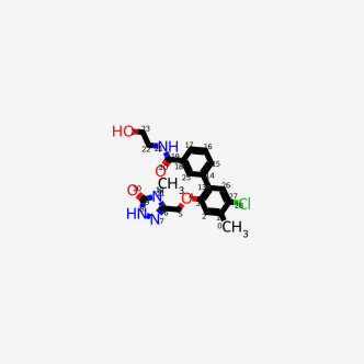 Cc1cc(OCc2n[nH]c(=O)n2C)c(-c2cccc(C(=O)NCCO)c2)cc1Cl